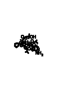 CC(C)C(=O)O[C@@H]1[C@@](CF)(CO[P@@](=O)(N[C@@H](C)C(=O)OCC(C)(C)O)Oc2ccccc2)OC[C@]1(OC(=O)C(C)C)c1ccc2c(N)ncnn12